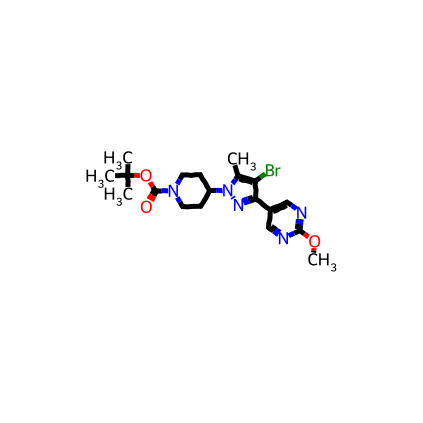 COc1ncc(-c2nn(C3CCN(C(=O)OC(C)(C)C)CC3)c(C)c2Br)cn1